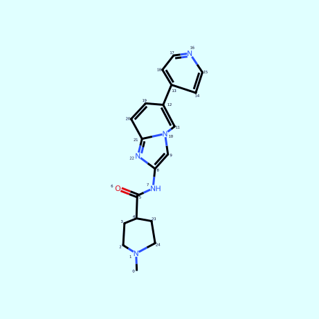 CN1CCC(C(=O)Nc2cn3cc(-c4ccncc4)ccc3n2)CC1